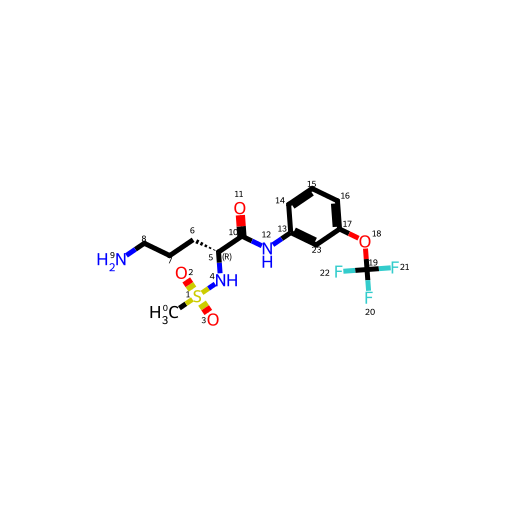 CS(=O)(=O)N[C@H](CCCN)C(=O)Nc1cccc(OC(F)(F)F)c1